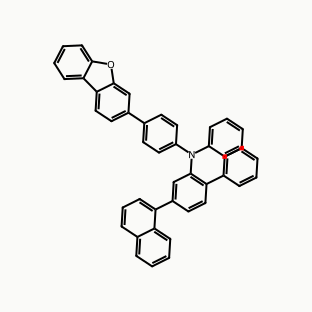 c1ccc(-c2ccc(-c3cccc4ccccc34)cc2N(c2ccccc2)c2ccc(-c3ccc4c(c3)oc3ccccc34)cc2)cc1